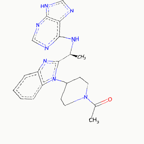 CC(=O)N1CCC(n2c([C@H](C)Nc3ncnc4[nH]cnc34)nc3ccccc32)CC1